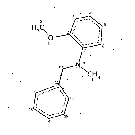 COc1ccc[c]c1N(C)Cc1ccccc1